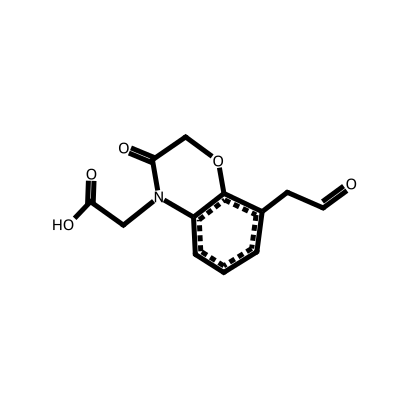 O=CCc1cccc2c1OCC(=O)N2CC(=O)O